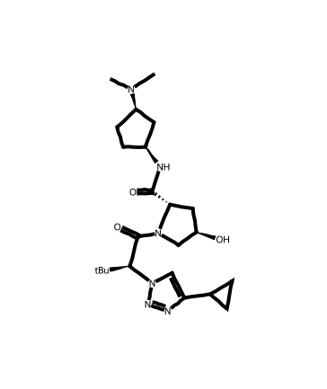 CN(C)[C@@H]1CC[C@H](NC(=O)[C@@H]2C[C@@H](O)CN2C(=O)[C@@H](n2cc(C3CC3)nn2)C(C)(C)C)C1